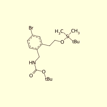 CC(C)(C)OC(=O)NCc1ccc(Br)cc1CCO[Si](C)(C)C(C)(C)C